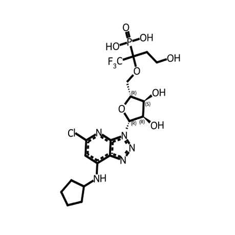 O=P(O)(O)C(CCO)(OC[C@H]1O[C@@H](n2nnc3c(NC4CCCC4)cc(Cl)nc32)[C@H](O)[C@@H]1O)C(F)(F)F